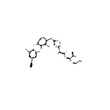 C=C(C)C(/N=C\CC)=N\C(C)=C(/C)c1nnc(Cc2ccc(Cl)c(Oc3cc(Cl)cc(C#N)c3)c2F)o1